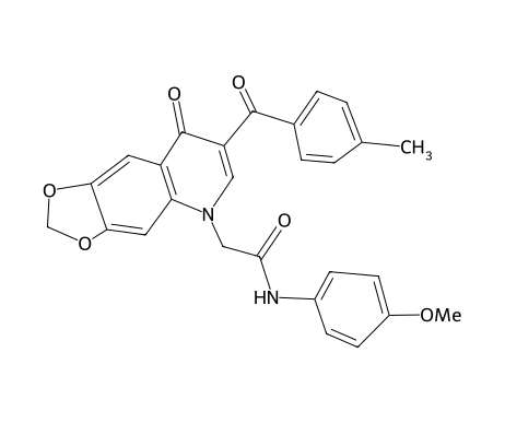 COc1ccc(NC(=O)Cn2cc(C(=O)c3ccc(C)cc3)c(=O)c3cc4c(cc32)OCO4)cc1